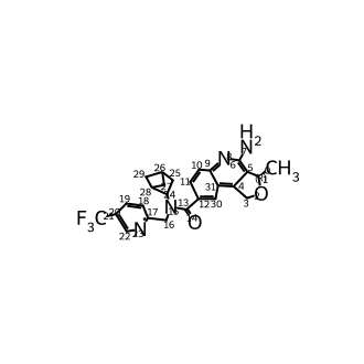 C[C@H]1OCc2c1c(N)nc1ccc(C(=O)N(Cc3ccc(C(F)(F)F)cn3)C3CC4CC3C4)cc21